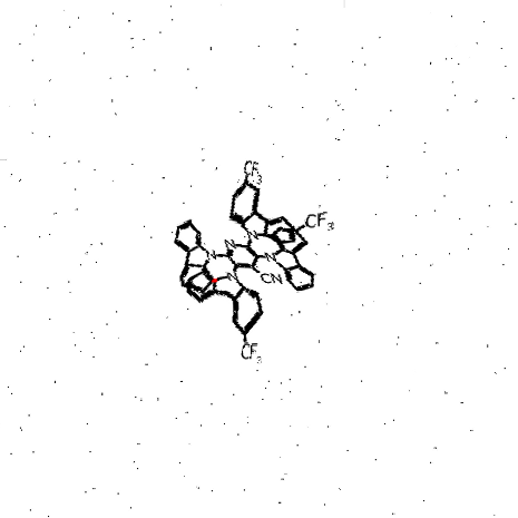 N#Cc1c(-n2c3ccccc3c3cc(C(F)(F)F)ccc32)c(-n2c3ccccc3c3ccccc32)nc(-n2c3ccccc3c3cc(C(F)(F)F)ccc32)c1-n1c2ccccc2c2cc(C(F)(F)F)ccc21